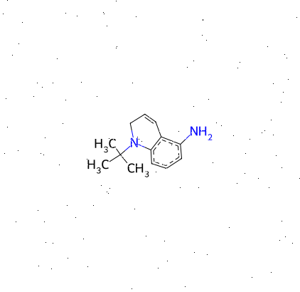 CC(C)(C)N1CC=Cc2c(N)cccc21